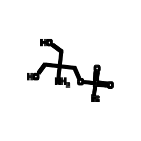 CCS(=O)(=O)OCC(N)(CO)CO